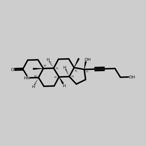 C[C@]12CCC(=O)N[C@@H]1CC[C@@H]1[C@@H]2CC[C@@]2(C)[C@H]1CC[C@@]2(O)C#CCCO